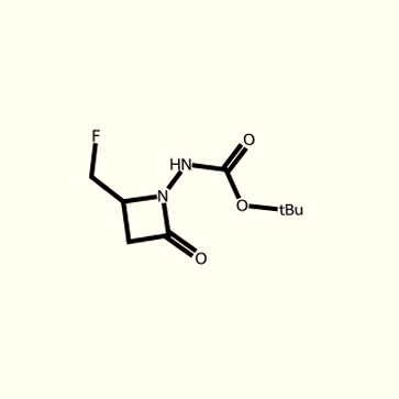 CC(C)(C)OC(=O)NN1C(=O)CC1CF